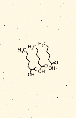 CCCCCC(=O)O.CCCCCC(=O)O.CCCCCC(=O)O